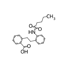 CCCCS(=O)(=O)Nc1ccccc1CCc1ccccc1C(=O)O